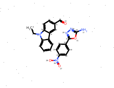 CCn1c2ccccc2c2cc(C=O)ccc21.Nc1nnc(-c2ccc([N+](=O)[O-])cc2)o1